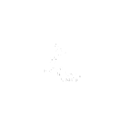 C[C@H](C(=O)Nc1cc([C@@H]2CC2(F)F)[nH]n1)c1cnn(-c2cc(F)cc(F)c2)c1